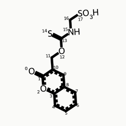 O=c1oc2ccccc2cc1COC(=S)NCS(=O)(=O)O